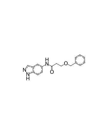 O=C(CCOCc1ccccc1)Nc1ccc2[nH]ncc2c1